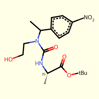 CC(c1ccc([N+](=O)[O-])cc1)N(CCO)C(=O)N[C@@H](C)C(=O)OC(C)(C)C